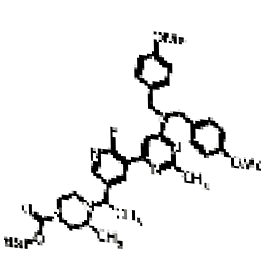 COc1ccc(CN(Cc2ccc(OC)cc2)c2cc(-c3cc([C@@H](C)N4CCN(C(=O)OC(C)(C)C)C[C@@H]4C)cnc3F)nc(C)n2)cc1